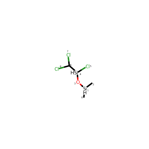 C[SiH](C)O[SiH](Cl)C(Cl)Cl